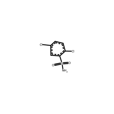 NS(=O)(=O)c1cc(Cl)ccc1Cl